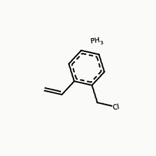 C=Cc1ccccc1CCl.P